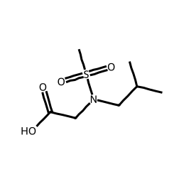 CC(C)CN(CC(=O)O)S(C)(=O)=O